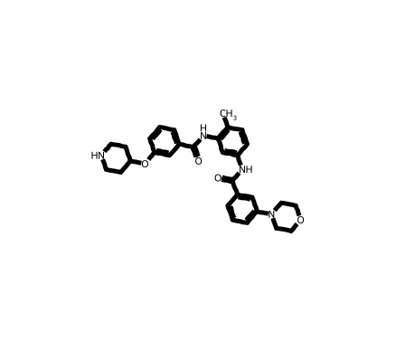 Cc1ccc(NC(=O)c2cccc(N3CCOCC3)c2)cc1NC(=O)c1cccc(OC2CCNCC2)c1